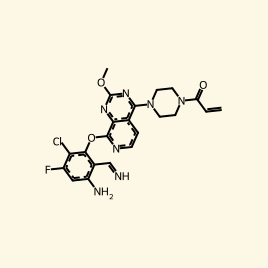 C=CC(=O)N1CCN(c2nc(OC)nc3c(Oc4c(Cl)c(F)cc(N)c4C=N)nccc23)CC1